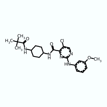 COc1cccc(Nc2ncc(Cl)c(C(=O)NC3CCC(NC(=O)C(C)(C)C)CC3)n2)c1